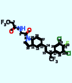 O=C(CC(F)(F)F)NCC(=O)n1ccc2cc(C=CC(c3cc(Cl)c(F)c(Cl)c3)C(F)(F)F)ccc21